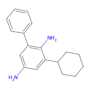 Nc1cc(-c2ccccc2)c(N)c(C2CCCCC2)c1